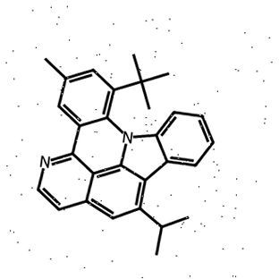 Cc1cc(C(C)(C)C)c2c(c1)c1nccc3cc(C(C)C)c4c5ccccc5n2c4c31